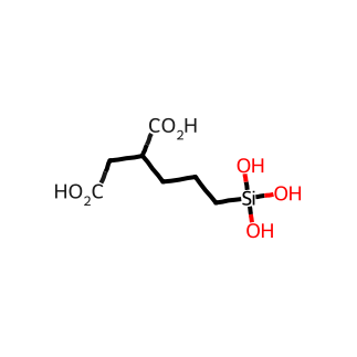 O=C(O)CC(CCC[Si](O)(O)O)C(=O)O